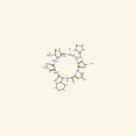 CC(C)C[C@H]1C(=O)NC(C2CCCCC2)C(=O)N[C@@H](CN)C(=O)N[C@@H]([C@H](C)O)C(=O)N[C@H](C)CN(CC2CCCC2)[C@@H](CCF)C(=O)N1C